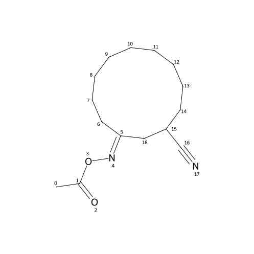 CC(=O)O/N=C1\CCCCCCCCCC(C#N)C1